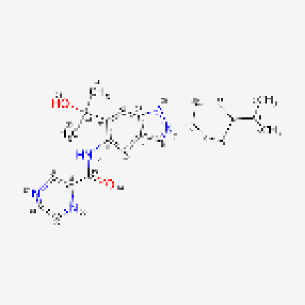 CC(C)[C@H]1CC[C@H](n2cc3cc(NC(=O)c4cnccn4)c(C(C)(C)O)cc3n2)CC1